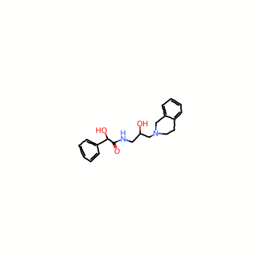 O=C(NCC(O)CN1CCc2ccccc2C1)C(O)c1ccccc1